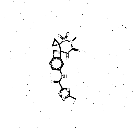 Cc1nc(C(=O)Nc2ccc3c(c2)[C@@]2(C3)NC(=N)N(C)S(=O)(=O)C23CC3)no1